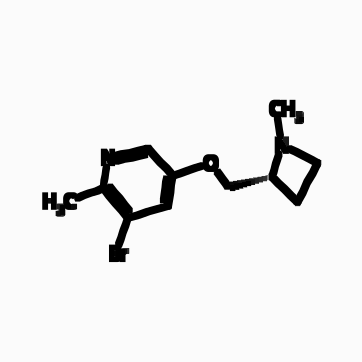 Cc1ncc(OC[C@H]2CCN2C)cc1Br